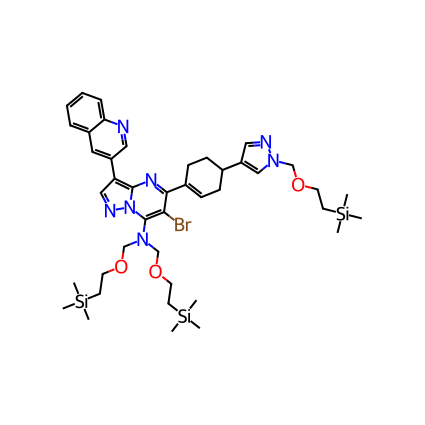 C[Si](C)(C)CCOCN(COCC[Si](C)(C)C)c1c(Br)c(C2=CCC(c3cnn(COCC[Si](C)(C)C)c3)CC2)nc2c(-c3cnc4ccccc4c3)cnn12